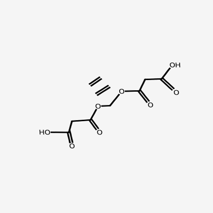 C=C.C=C.O=C(O)CC(=O)OCOC(=O)CC(=O)O